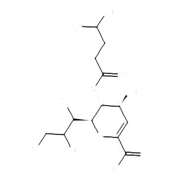 CC(C)CCC(=O)N[C@@H]1[C@@H](O)C=C(C(=O)O)O[C@H]1C(O)C(O)CO